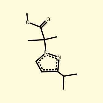 COC(=O)C(C)(C)n1ccc(C(C)C)n1